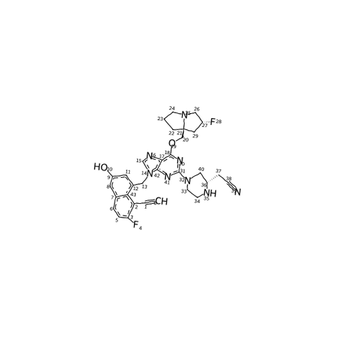 C#Cc1c(F)ccc2cc(O)cc(Cn3cnc4c(OC[C@@]56CCCN5C[C@H](F)C6)nc(N5CCN[C@@H](CC#N)C5)nc43)c12